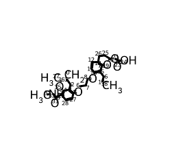 C=CCc1c(OCCCOc2ccc3c(c2CCC)OC(OC(=O)O)CC3)ccc(C(=O)NC)c1OCC